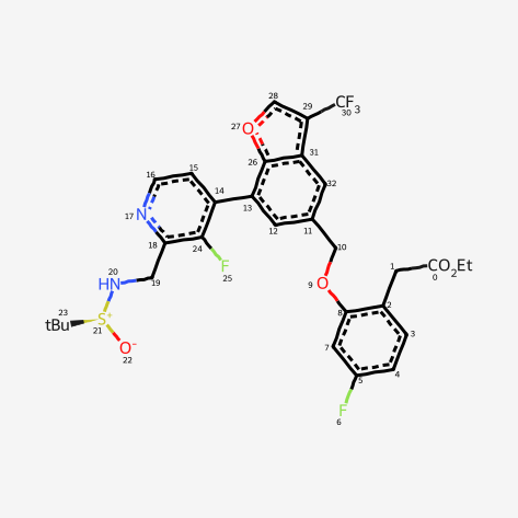 CCOC(=O)Cc1ccc(F)cc1OCc1cc(-c2ccnc(CN[S@@+]([O-])C(C)(C)C)c2F)c2occ(C(F)(F)F)c2c1